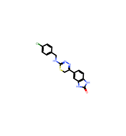 O=c1[nH]c2ccc(C3=NN=C(NCc4ccc(Cl)cc4)SC3)cc2[nH]1